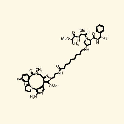 CC[C@H](NC(=O)[C@H]1C[C@@H](NCCCCCCCCC(=O)NCCn2nc3c(c2OC)-c2cnc(N)c(c2)N2CCC[C@@H]2c2cc(F)ccc2C(=O)N(C)C3)CN1C(=O)[C@H](NC(=O)[C@@H](C)NC)C(C)(C)C)c1ccccc1